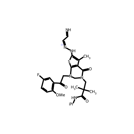 COc1ccc(F)cc1C(=O)CN1CN(CC(C)(C)C(=O)NC(C)C)C(=O)c2c1sc(N/N=C\C=N)c2C